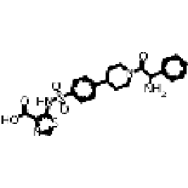 N[C@@H](C(=O)N1CCC(c2ccc(S(=O)(=O)Nc3scnc3C(=O)O)cc2)CC1)c1ccccc1